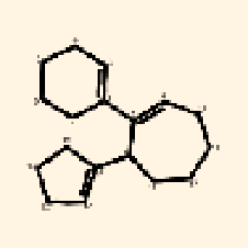 [C]1=C(C2=CCCCC2)C(C2=CCCC2)CCCC1